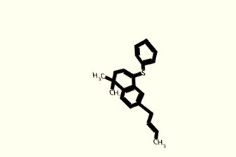 CC=CCc1ccc2c(c1)C(Sc1ccccc1)=CCC2(C)C